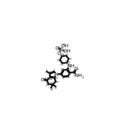 Cc1cn(-c2ccc(C(N)=O)c(N[C@H]3CC[C@H](OP(=O)(O)O)CC3)c2)c2c1C(=O)CC(C)(C)C2